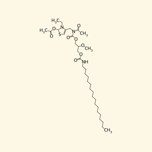 CCCCCCCCCCCCCCCCCCNC(=O)OCC(COC(=O)N(CC1=CSC(OC(C)=O)N1CC)C(C)=O)OC